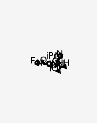 CC(C)n1nccc1C(=O)NC(C(=O)Nc1ccc(CC(=O)N2CCC(F)C2)cc1F)C(C1CC1)C1CC1